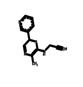 C#CCNC1=C(C)N=CC(c2cccnc2)S1